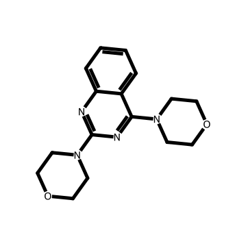 c1ccc2c(N3CCOCC3)nc(N3CCOCC3)nc2c1